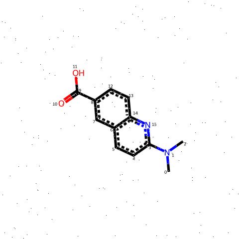 CN(C)c1ccc2cc(C(=O)O)ccc2n1